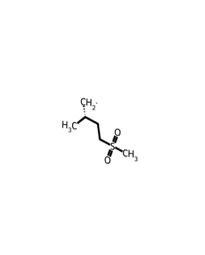 [CH2][C@@H](C)CCS(C)(=O)=O